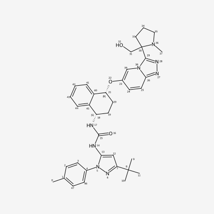 Cc1ccc(-n2nc(C(C)(C)C)cc2NC(=O)N[C@H]2CC[C@@H](Oc3ccc4nnc(C5(CO)CCCN5C)n4c3)c3ccccc32)cc1